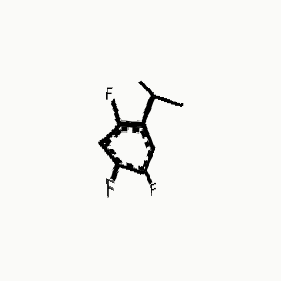 C[C](C)c1cc(F)c(F)cc1F